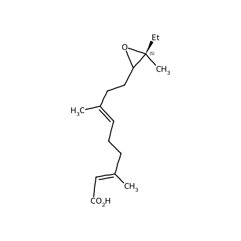 CC[C@]1(C)OC1CCC(C)=CCCC(C)=CC(=O)O